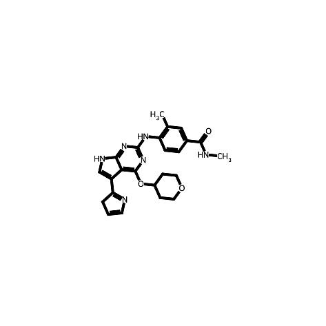 CNC(=O)c1ccc(Nc2nc(OC3CCOCC3)c3c(C4=NC=CC4)c[nH]c3n2)c(C)c1